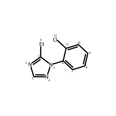 CCc1ncnn1-c1ccccc1Cl